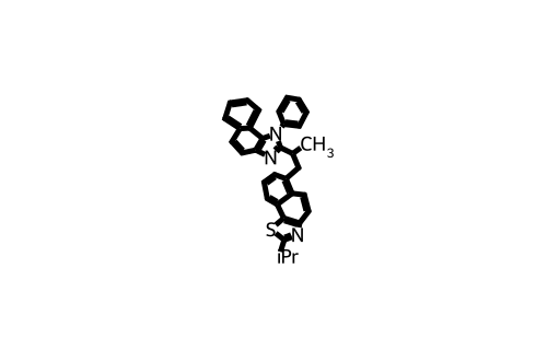 CC(C)c1nc2ccc3c(CC(C)c4nc5ccc6ccccc6c5n4-c4ccccc4)cccc3c2s1